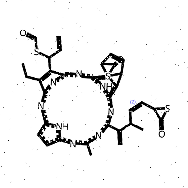 C=CC(SC=O)C1=C(CC)c2nc1nc1[nH]c(nc(C(=C)C(C)/C=C\C3SC3=O)nc(C)nc3ccc(n2)[nH]3)=C2C3C=CC4C(=O)S=1243